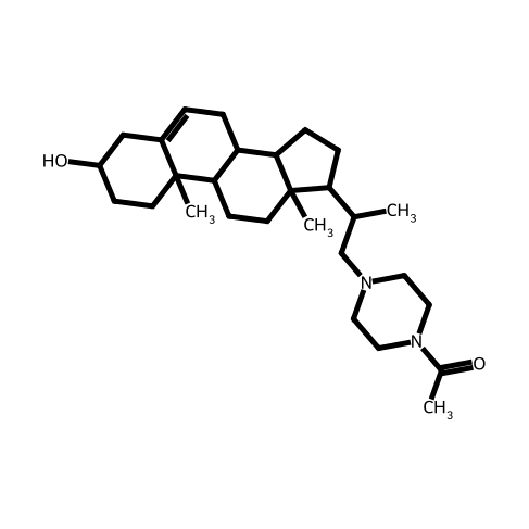 CC(=O)N1CCN(CC(C)C2CCC3C4CC=C5CC(O)CCC5(C)C4CCC23C)CC1